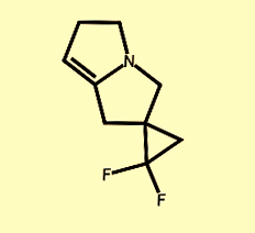 FC1(F)CC12CC1=CCCN1C2